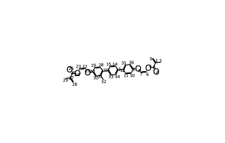 C=C(C)C(=O)O/C=C\Oc1ccc(-c2ccc(-c3ccc(O/C=C\OC(=O)C(=C)C)cc3C)cc2)cc1